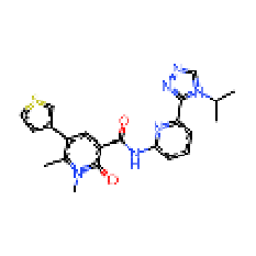 Cc1c(-c2ccsc2)cc(C(=O)Nc2cccc(-c3nncn3C(C)C)n2)c(=O)n1C